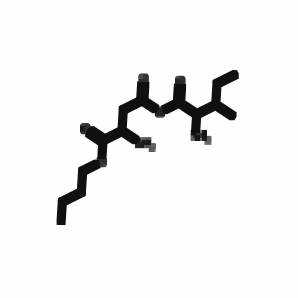 CCCCOC(=O)C(N)CC(=O)OC(=O)C(N)C(C)CC